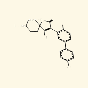 Cc1ccc(-c2ccc(Cl)cc2)cc1C1=C(O)C2(CCC(C)CC2)NC1=O